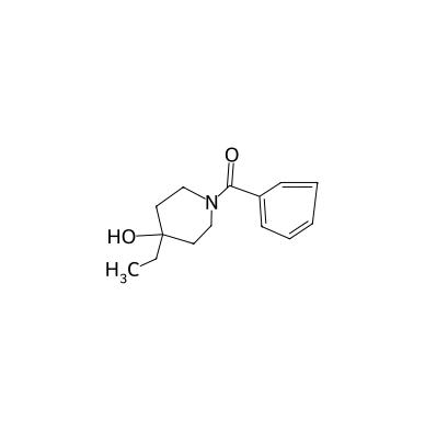 CCC1(O)CCN(C(=O)c2ccccc2)CC1